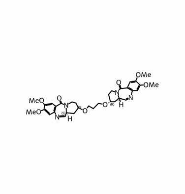 COc1cc2c(cc1OC)C(=O)N1CC[C@@H](OCCCO[C@@H]3CCN4C(=O)c5cc(OC)c(OC)cc5N=C[C@@H]4C3)C[C@H]1C=N2